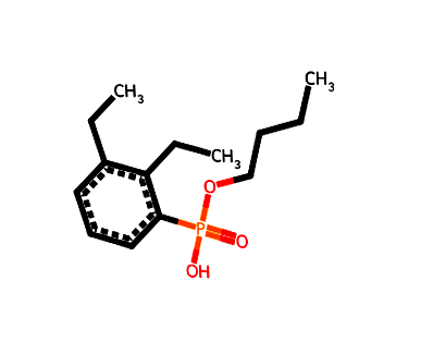 CCCCOP(=O)(O)c1cccc(CC)c1CC